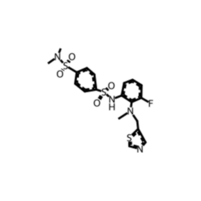 CN(Cc1cncs1)c1c(F)cccc1NS(=O)(=O)c1ccc(S(=O)(=O)N(C)C)cc1